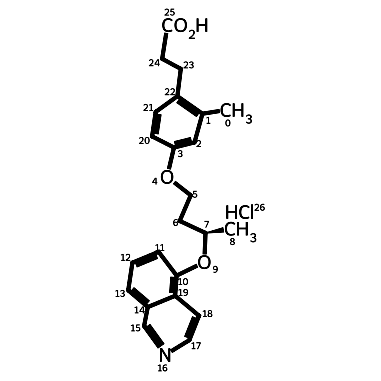 Cc1cc(OCC[C@@H](C)Oc2cccc3cnccc23)ccc1CCC(=O)O.Cl